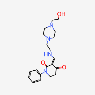 O=C1CCN(c2ccccc2)C(=O)/C1=C\NCCN1CCN(CCO)CC1